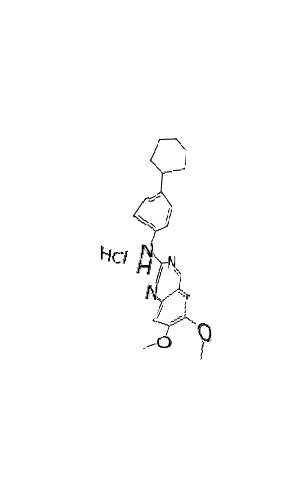 COc1cc2cnc(Nc3ccc(C4CCCCC4)cc3)nc2cc1OC.Cl